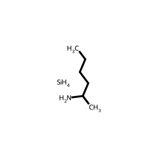 CCCCC(C)N.[SiH4]